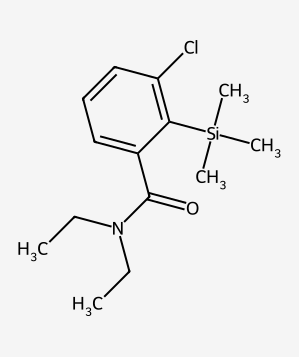 CCN(CC)C(=O)c1cccc(Cl)c1[Si](C)(C)C